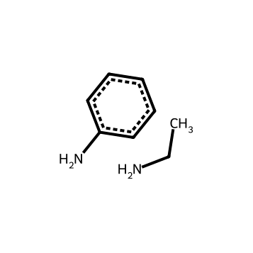 CCN.Nc1ccccc1